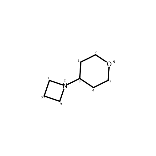 [CH]1CN(C2CCOCC2)C1